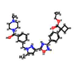 CCOC(=O)C1(c2ccc(-c3noc(-c4cc(C)n(Cc5cccc(C(=O)N6CCN(C)CC6)c5)n4)n3)cc2)CCC1